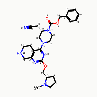 [14CH3]N1CCC[C@H]1COc1nc2c(c(N3CCN(C(=O)OCc4ccccc4)[C@@H](CC#N)C3)n1)CCNC2